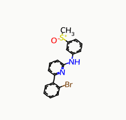 C[S+]([O-])c1cccc(Nc2cccc(-c3ccccc3Br)n2)c1